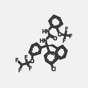 O=C(Nc1ccccc1OC(F)(F)F)N[C@@](Cc1ccccc1)(c1cccc(OC(F)(F)C(F)F)c1)c1ccc(Cl)cn1